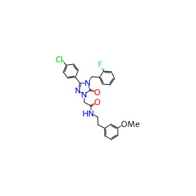 COc1cccc(CCNC(=O)Cn2nc(-c3ccc(Cl)cc3)n(Cc3ccccc3F)c2=O)c1